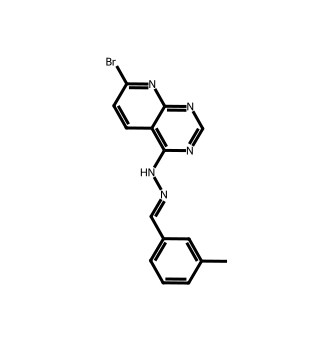 Cc1cccc(C=NNc2ncnc3nc(Br)ccc23)c1